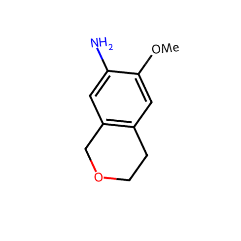 COc1cc2c(cc1N)COCC2